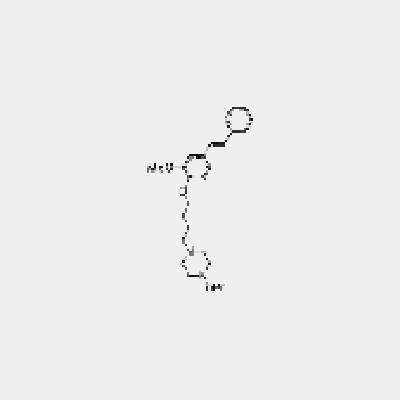 CCCN1CCN(CCCCOc2ccc(C=Cc3ccccc3)cc2OC)CC1